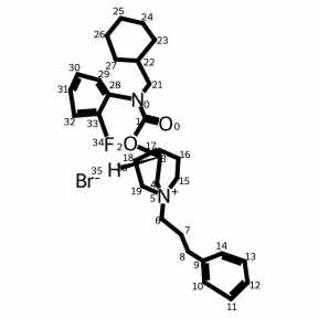 O=C(O[C@H]1C[N+]2(CCCc3ccccc3)CCC1CC2)N(CC1CCCCC1)c1ccccc1F.[Br-]